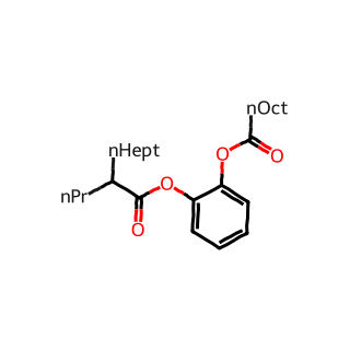 CCCCCCCCC(=O)Oc1ccccc1OC(=O)C(CCC)CCCCCCC